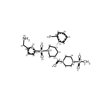 CS(=O)(=O)N1CCN(C(=O)[C@H]2C[C@@H](c3ccccc3F)CN(S(=O)(=O)c3ccc(CN)s3)C2)CC1